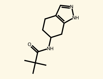 CC(C)(C)C(=O)NC1CCc2cn[nH]c2C1